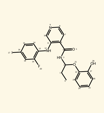 CCC(NC(=O)c1ccncc1Nc1ccc(I)cc1F)Oc1ccccc1O